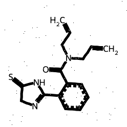 C=CCN(CC=C)C(=O)c1ccccc1C1=NCC(=S)N1